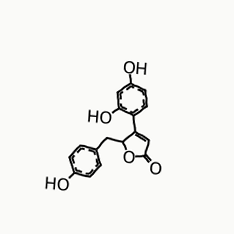 O=C1C=C(c2ccc(O)cc2O)C(Cc2ccc(O)cc2)O1